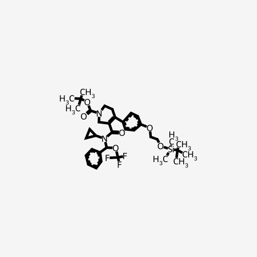 CC(C)(C)OC(=O)N1CCC(c2ccc(OCCO[Si](C)(C)C(C)(C)C)cc2)=C(C(=O)N(C2CC2)C(OC(F)(F)F)c2ccccc2)C1